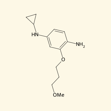 COCCCOc1cc(NC2CC2)ccc1N